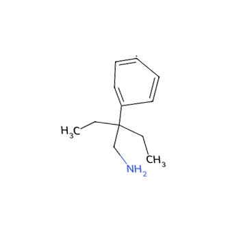 CCC(CC)(CN)c1cc[c]cc1